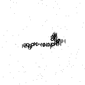 CS(=O)(=O)N1CCc2cccc(Nc3nc(Nc4ccc(N5CCC(N6CCN(CCC7CCN(c8ccc(C9CCC(=O)NC9=O)c(F)c8)CC7)CC6)CC5)c(F)c4)nc4[nH]ccc34)c21